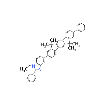 CCn1c(-c2ccccc2)nc2cc(-c3ccc4c(c3)C(C)(C)c3cc5c(cc3-4)C(C)(C)c3cc(-c4ccccc4)ccc3-5)ccc21